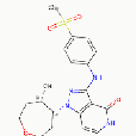 CC(C)(C)S(=O)(=O)c1ccc(Nc2nn([C@@H]3CCOCC[C@@H]3C#N)c3cc[nH]c(=O)c23)cc1